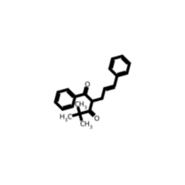 CC(C)(C)C(=O)C(CC=Cc1ccccc1)C(=O)c1ccccc1